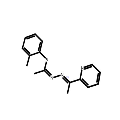 CC(=N/N=C(\C)c1ccccn1)Sc1ccccc1C